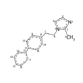 Cc1nccn1CCc1ccc(-c2ccccc2)cc1